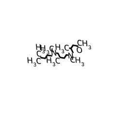 CC(=O)CC(C)CN(C)CCC(C)CN(C)CCCC(C)C